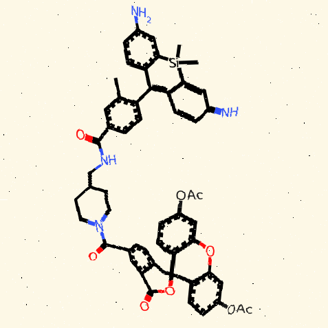 CC(=O)Oc1ccc2c(c1)Oc1cc(OC(C)=O)ccc1C21OC(=O)c2cc(C(=O)N3CCC(CNC(=O)c4ccc(C5=C6C=CC(=N)C=C6[Si](C)(C)c6cc(N)ccc65)c(C)c4)CC3)ccc21